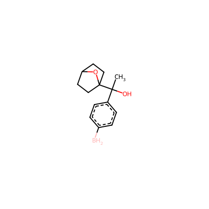 Bc1ccc(C(C)(O)C23CCC(CC2)O3)cc1